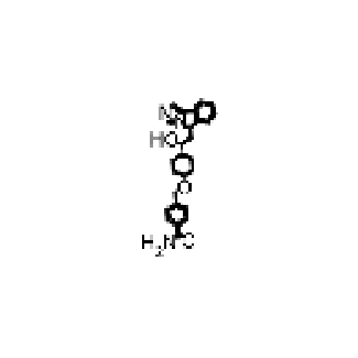 NC(=O)c1ccc(CO[C@H]2CC[C@H](C(O)CC3c4ccccc4-c4cncn43)CC2)cc1